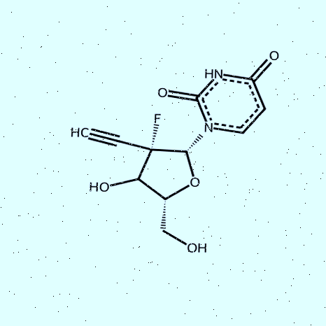 C#C[C@]1(F)C(O)[C@@H](CO)O[C@H]1n1ccc(=O)[nH]c1=O